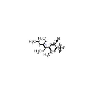 CCC/C(CC)=C(\CC)c1cc(C#N)c(C(F)(F)F)cc1C